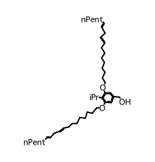 CCCCCC=CCC=CCCCCCCCCOc1cc(CO)cc(OCCCCCCCCC=CCC=CCCCCC)c1C(C)C